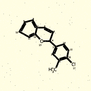 Cc1cc(C2C=Cc3ccccc3O2)ccc1Cl